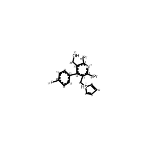 CC(C)c1nc(C(C)C)c(C[SH]2C=CC=C2)c(-c2ccc(F)cc2)c1CO